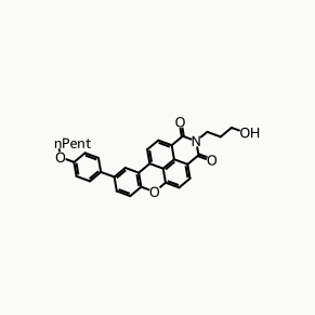 CCCCCOc1ccc(-c2ccc3oc4ccc5c(=O)n(CCCO)c(=O)c6ccc(c3c2)c4c56)cc1